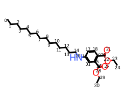 CCCCCCCCCCCCCCCNc1ccc(C(=O)OCC)c(C(=O)OCC)c1